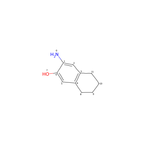 Nc1cc2c([c]c1O)CCCC2